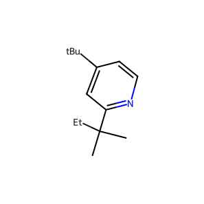 CCC(C)(C)c1cc(C(C)(C)C)ccn1